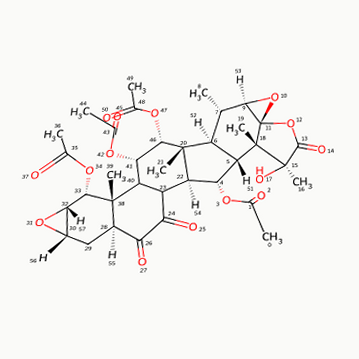 CC(=O)O[C@H]1[C@@H]2[C@H]([C@H](C)[C@H]3O[C@]34OC(=O)[C@@](C)(O)[C@]24C)[C@]2(C)[C@@H]1C1C(=O)C(=O)[C@H]3C[C@@H]4O[C@@H]4[C@H](OC(C)=O)[C@]3(C)C1[C@H](OC(C)=O)[C@@H]2OC(C)=O